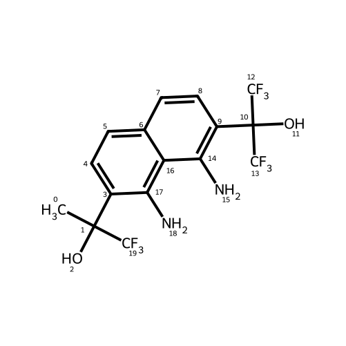 CC(O)(c1ccc2ccc(C(O)(C(F)(F)F)C(F)(F)F)c(N)c2c1N)C(F)(F)F